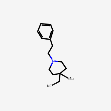 CC(C)(C)C1(CC#N)CCN(CCc2ccccc2)CC1